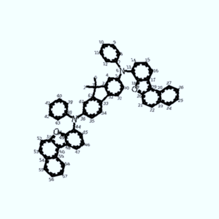 CC1(C)c2cc(N(c3ccccc3)c3cccc4c3oc3ccc5ccccc5c34)ccc2-c2ccc(N(c3ccccc3)c3cccc4c3oc3ccc5ccccc5c34)cc21